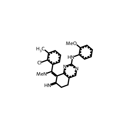 CN/C(=C1\C(=N)CCc2cnc(Nc3ccccc3OC)nc21)c1cccc(C)c1Cl